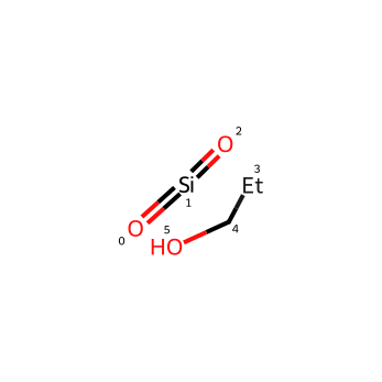 O=[Si]=O.[CH2]CCO